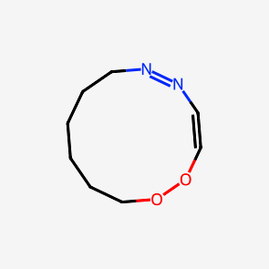 C1=COOCCCCCCN=N1